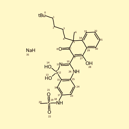 CC(C)(C)CCCCC1(C)C(=O)C(C2=NS(O)(O)c3cc(NS(C)(=O)=O)ccc3N2)=C(O)c2ccccc21.[NaH]